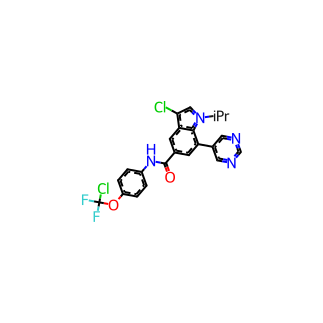 CC(C)n1cc(Cl)c2cc(C(=O)Nc3ccc(OC(F)(F)Cl)cc3)cc(-c3cncnc3)c21